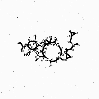 CO[C@]1(C)C[C@@H](C)CN(C)[C@@H](C2(CCN(C)CC3CC3)CC2)COC(=O)C(C)(C)C(=O)[C@H](C)[C@H]1O[C@@H]1O[C@H](C)C[C@H](N(C)C)[C@H]1O